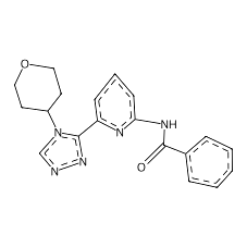 O=C(Nc1cccc(-c2nncn2C2CCOCC2)n1)c1ccccc1